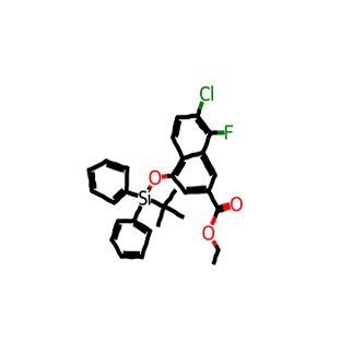 CCOC(=O)c1cc(O[Si](c2ccccc2)(c2ccccc2)C(C)(C)C)c2ccc(Cl)c(F)c2c1